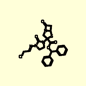 O=C1CC2SC(C(=O)OC(c3ccccc3)c3ccccc3)(N3CCN(/N=C/CCl)C3=O)CN12